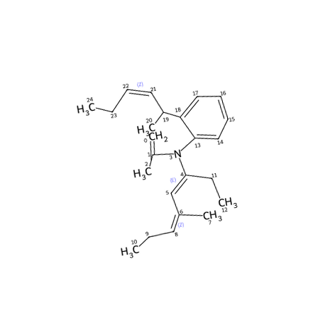 C=C(C)N(/C(=C/C(C)=C\CC)CC)c1ccccc1C(C)/C=C\CC